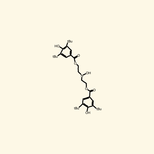 CC(C)(C)c1cc(C(=O)OCCN(O)CCOC(=O)c2cc(C(C)(C)C)c(O)c(C(C)(C)C)c2)cc(C(C)(C)C)c1O